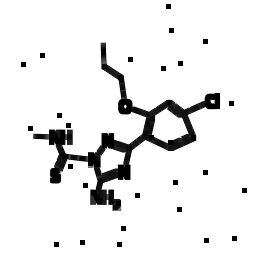 CCCOc1cc(Cl)ccc1-c1nc(N)n(C(=S)NC)n1